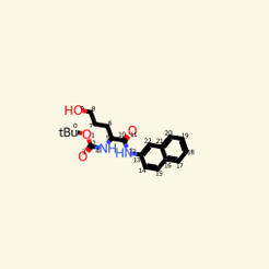 CC(C)(C)OC(=O)NC(CCCO)C(=O)Nc1ccc2ccccc2c1